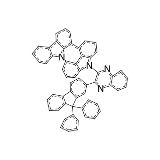 c1ccc(C2(c3ccccc3)c3ccccc3-c3ccc(-c4nc5ccccc5nc4-n4c5cccc6c7cccc8c9ccccc9n(c9cccc4c9c65)c78)cc32)cc1